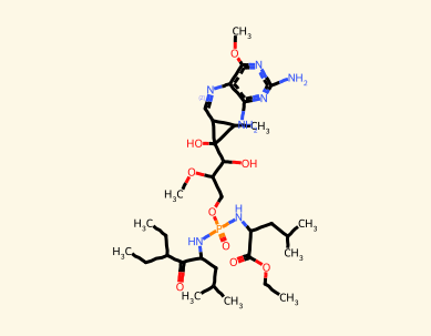 CCOC(=O)C(CC(C)C)NP(=O)(NC(CC(C)C)C(=O)C(CC)CC)OCC(OC)C(O)C1(O)C(C)C1/C=N\c1c(N)nc(N)nc1OC